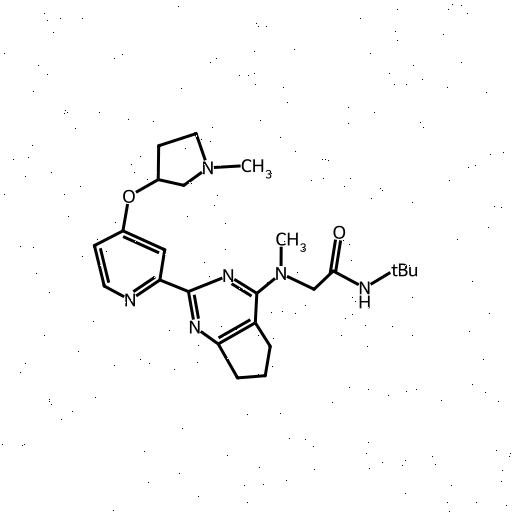 CN1CCC(Oc2ccnc(-c3nc4c(c(N(C)CC(=O)NC(C)(C)C)n3)CCC4)c2)C1